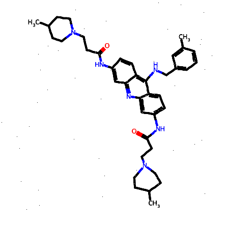 Cc1cccc(CNc2c3ccc(NC(=O)CCN4CCC(C)CC4)cc3nc3cc(NC(=O)CCN4CCC(C)CC4)ccc23)c1